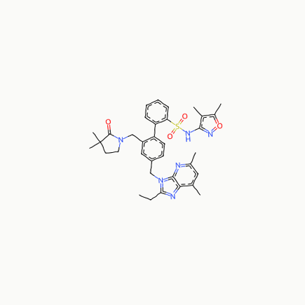 CCc1nc2c(C)cc(C)nc2n1Cc1ccc(-c2ccccc2S(=O)(=O)Nc2noc(C)c2C)c(CN2CCC(C)(C)C2=O)c1